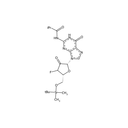 CC(C)C(=O)Nc1nc2c(ncn2[C@@H]2O[C@H](CO[Si](C)(C)C(C)(C)C)C(F)C2=O)c(=O)[nH]1